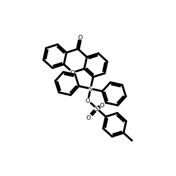 Cc1ccc(S(=O)(=O)OS(c2ccccc2)(c2ccccc2)c2cccc3c(=O)c4ccccc4oc23)cc1